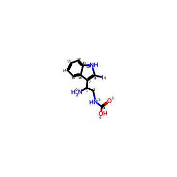 NC(CNC(=O)O)c1c(I)[nH]c2ccccc12